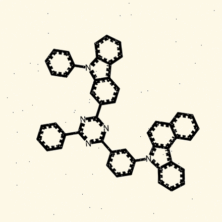 c1ccc(-c2nc(-c3cccc(-n4c5ccccc5c5c6ccccc6ccc54)c3)nc(-c3ccc4c5ccccc5n(-c5ccccc5)c4c3)n2)cc1